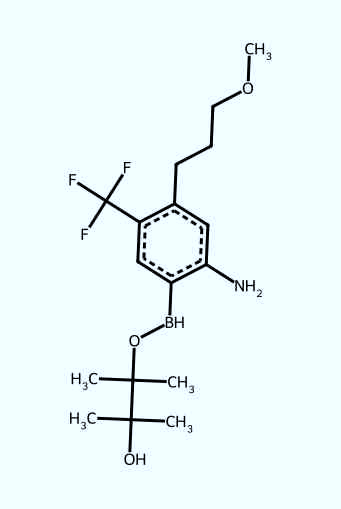 COCCCc1cc(N)c(BOC(C)(C)C(C)(C)O)cc1C(F)(F)F